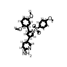 COc1ccc(S(=O)(=O)n2cc(-c3ccc(N)nc3)cc2-c2cc(OC)ccc2OC)cc1